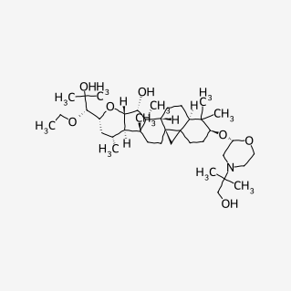 CCO[C@@H]([C@H]1C[C@@H](C)[C@H]2[C@H](O1)[C@H](O)[C@@]1(C)[C@@H]3CC[C@H]4C(C)(C)[C@@H](O[C@H]5CN(C(C)(C)CO)CCO5)CCC45C[C@@]35CC[C@]21C)C(C)(C)O